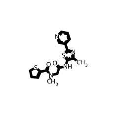 Cc1nc(-c2cccnc2)sc1NC(=O)CN(C)C(=O)C1=CCCS1